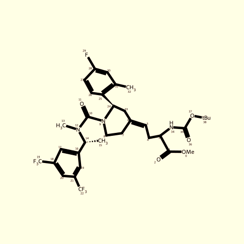 COC(=O)C(CC=C1CCN(C(=O)N(C)[C@H](C)c2cc(C(F)(F)F)cc(C(F)(F)F)c2)[C@@H](c2ccc(F)cc2C)C1)NC(=O)OC(C)(C)C